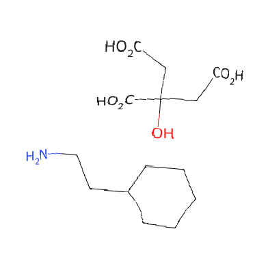 NCCC1CCCCC1.O=C(O)CC(O)(CC(=O)O)C(=O)O